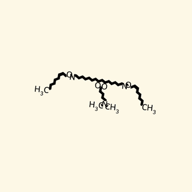 CCCCCC/C=C\CO/N=C/CCCCCCC(CCCCCC/C=N/OC/C=C\CCCCCC)OC(=O)CCCCN(C)C